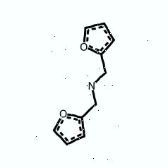 c1coc(C[N]Cc2ccco2)c1